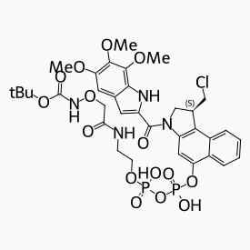 COc1cc2cc(C(=O)N3C[C@@H](CCl)c4c3cc(OP(=O)(O)OP(=O)(O)OCCNC(=O)CONC(=O)OC(C)(C)C)c3ccccc43)[nH]c2c(OC)c1OC